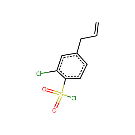 C=CCc1ccc(S(=O)(=O)Cl)c(Cl)c1